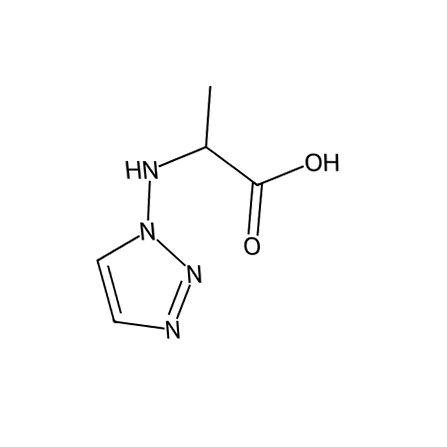 CC(Nn1ccnn1)C(=O)O